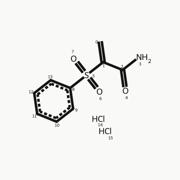 C=C(C(N)=O)S(=O)(=O)c1ccccc1.Cl.Cl